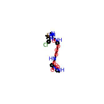 C=C1CCC(N2C(=O)c3cccc(OCCNCCOCCOCCOc4ccc(NC(=O)C[C@@H]5N=C(c6ccc(Cl)cc6)c6c(sc(C)c6C)-n6c(C)nnc65)cc4)c3C2=O)C(=O)N1